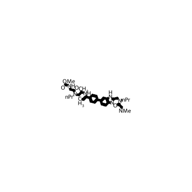 C/C=C(\NC(C)CN(CCC)C(=O)CNC(=O)OC)c1ccc(-c2ccc3nc(CN(CCC)C(=O)CNC)[nH]c3c2)cc1